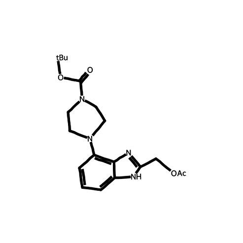 CC(=O)OCc1nc2c(N3CCN(C(=O)OC(C)(C)C)CC3)cccc2[nH]1